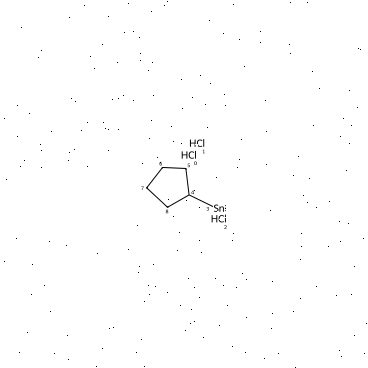 Cl.Cl.Cl.[Sn][CH]1CCCC1